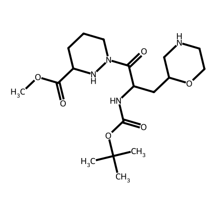 COC(=O)C1CCCN(C(=O)C(CC2CNCCO2)NC(=O)OC(C)(C)C)N1